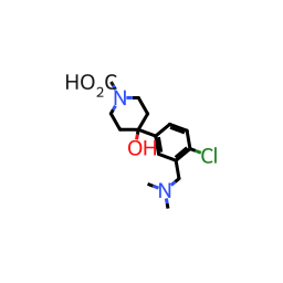 CN(C)Cc1cc(C2(O)CCN(C(=O)O)CC2)ccc1Cl